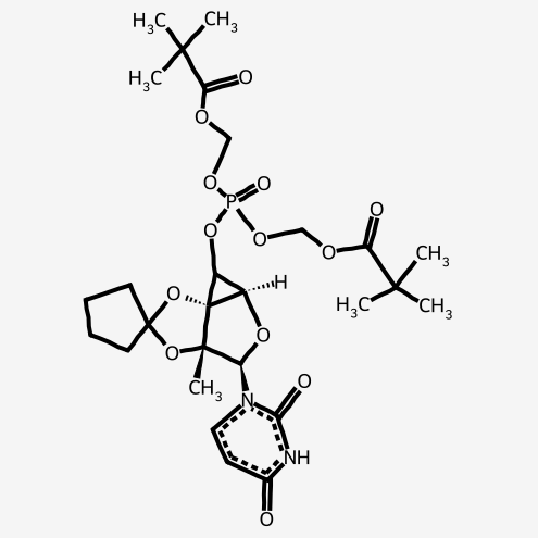 CC(C)(C)C(=O)OCOP(=O)(OCOC(=O)C(C)(C)C)OC1[C@H]2O[C@@H](n3ccc(=O)[nH]c3=O)[C@]3(C)OC4(CCCC4)O[C@]123